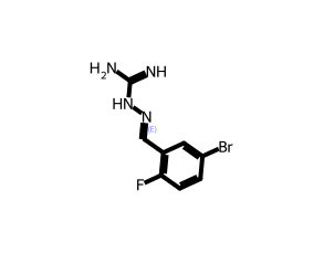 N=C(N)N/N=C/c1cc(Br)ccc1F